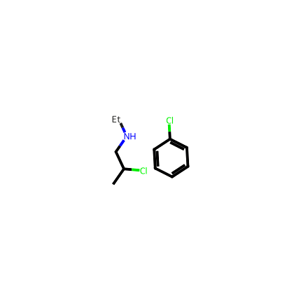 CCNCC(C)Cl.Clc1ccccc1